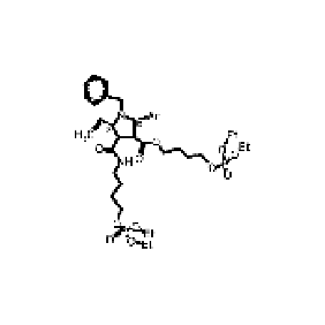 C=C[C@@H]1C(C(=O)NCCCCOP(=O)(OCC)OCC)C(C(=O)OCCCCOP(=O)(OCC)OCC)[C@H](C(C)=O)N1Cc1ccccc1